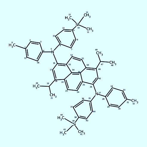 Cc1ccc(N(c2ccc([Si](C)(C)C)cc2)c2cc(C(C)C)c3ccc4c(N(c5ccc(C)cc5)c5ccc([Si](C)(C)C)cc5)cc(C(C)C)c5ccc2c3c54)cc1